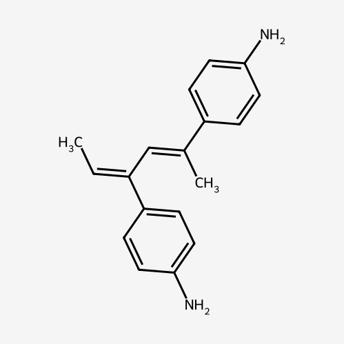 C/C=C(\C=C(/C)c1ccc(N)cc1)c1ccc(N)cc1